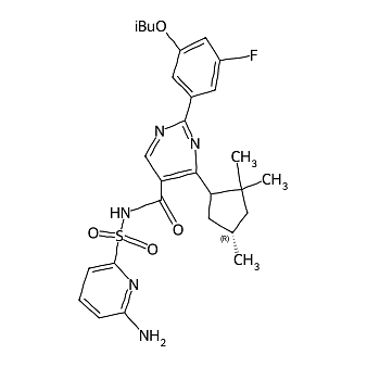 CC(C)COc1cc(F)cc(-c2ncc(C(=O)NS(=O)(=O)c3cccc(N)n3)c(C3C[C@@H](C)CC3(C)C)n2)c1